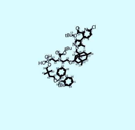 Cc1c(-c2ccc(Cl)nc2C(=O)OC(C)(C)C)cnn1CC12CC3(C)CC(C)(C1)CC(OCCN(CCS(O)(O)OCC(C)(C)CCO[Si](c1ccccc1)(c1ccccc1)C(C)(C)C)C(=O)OC(C)(C)C)(C3)C2